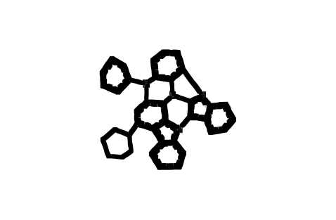 c1ccc(N2c3cccc4c3B3c5c2cc(C2CCCCC2)c2c6ccccc6n(c52)-c2c3n-4c3ccccc23)cc1